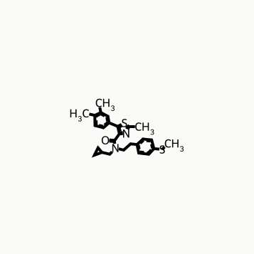 CSc1ccc(CCN(CC2CC2)C(=O)c2nc(C)sc2-c2ccc(C)c(C)c2)cc1